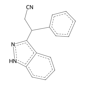 N#CCC(c1ccccc1)c1n[nH]c2ccccc12